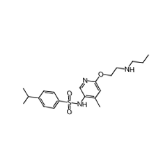 CCCNCCOc1cc(C)c(NS(=O)(=O)c2ccc(C(C)C)cc2)cn1